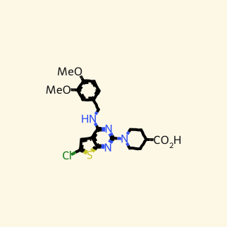 COc1ccc(CNc2nc(N3CCC(C(=O)O)CC3)nc3sc(Cl)cc23)cc1OC